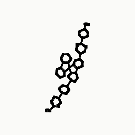 CC(C)(C)c1ccc(-c2ncc(-c3ccc4c(c3)C3(c5ccccc5-c5ccccc53)c3cc(-c5ccc(-c6cnc(C(C)(C)C)nc6)cc5)ccc3-4)cn2)cc1